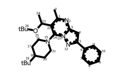 Cc1nc2cc(-c3ccccc3)nn2c(N2CCC(C(C)(C)C)CC2)c1C(C)OC(C)(C)C